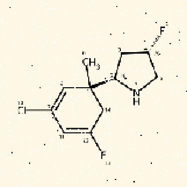 CC1([C@H]2C[C@H](F)CN2)C=C(Cl)C=C(F)C1